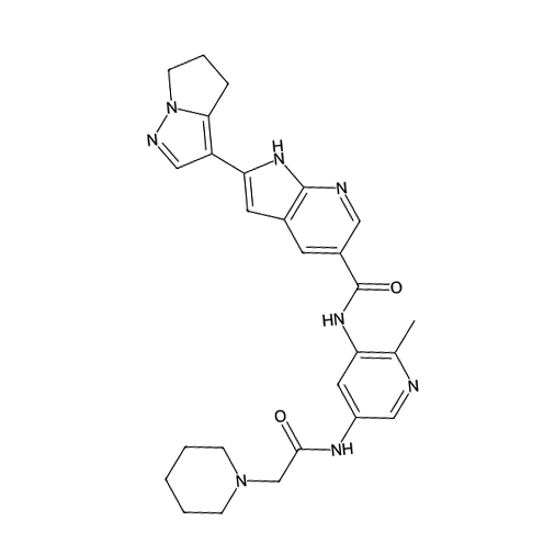 Cc1ncc(NC(=O)CN2CCCCC2)cc1NC(=O)c1cnc2[nH]c(-c3cnn4c3CCC4)cc2c1